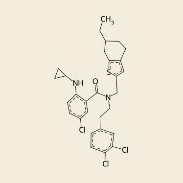 CCC1CCc2cc(CN(CCc3ccc(Cl)c(Cl)c3)C(=O)c3cc(Cl)ccc3NC3CC3)sc2C1